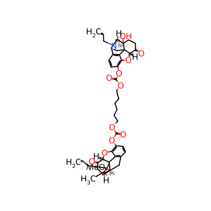 C=CCC1CCC23c4c5ccc(OC(=O)OCCCCCCOC(=O)Oc6ccc7c8c6O[C@H]6C(=O)CC[C@@]9(O)[C@@H](C7)N(CC=C)CCC869)c4O[C@H]2C(=O)CC[C@@]3(OC)[C@@H](C5)C1C